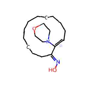 ON=C1CCCCCCCCCCC/C=C/1N1CCOCC1